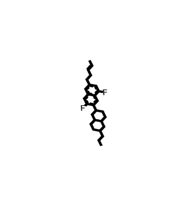 C/C=C/CCc1cc(F)c2cc(C3CCC4CC(CCC)CCC4C3)c(F)cc2c1